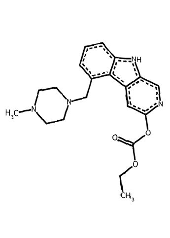 CCOC(=O)Oc1cc2c(cn1)[nH]c1cccc(CN3CCN(C)CC3)c12